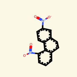 O=[N+]([O-])c1[c]c2ccc3cccc([N+](=O)[O-])c3c2cc1